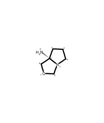 N[C@]12CCCN1COC2